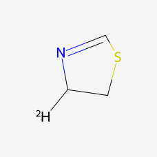 [2H]C1CSC=N1